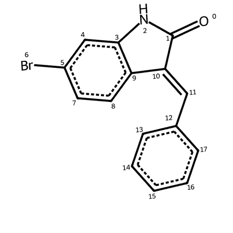 O=C1Nc2cc(Br)ccc2/C1=C\c1ccccc1